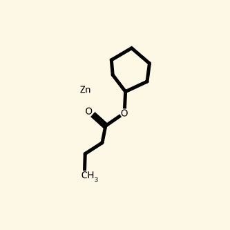 CCCC(=O)OC1CCCCC1.[Zn]